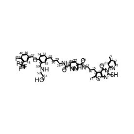 Cc1ccnc(-n2c(S)nc3sc(C)c(CCCNC(=O)c4ccc(C(=O)NCCCCc5ccc(OCc6ccc(F)c(C(F)(F)F)c6)c(CNCCO)c5)nn4)c3c2=O)c1